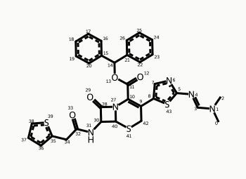 CN(C)C=Nc1ncc(C2=C(C(=O)OC(c3ccccc3)c3ccccc3)N3C(=O)C(NC(=O)Cc4cccs4)C3SC2)s1